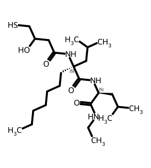 CCCCCCC[C@@](CC(C)C)(NC(=O)CC(O)CS)C(=O)N[C@@H](CC(C)C)C(=O)NCC